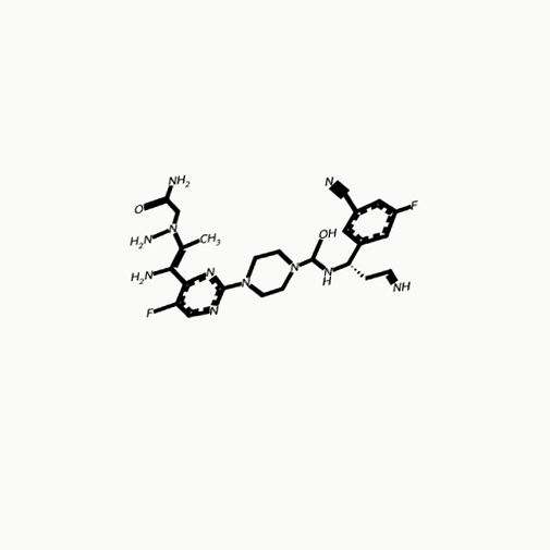 C/C(=C(/N)c1nc(N2CCN(C(O)N[C@@H](CC=N)c3cc(F)cc(C#N)c3)CC2)ncc1F)N(N)CC(N)=O